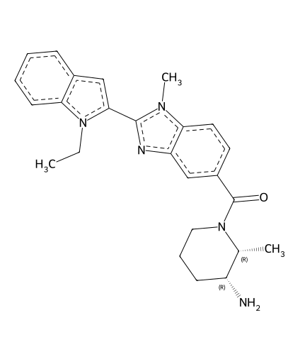 CCn1c(-c2nc3cc(C(=O)N4CCC[C@@H](N)[C@H]4C)ccc3n2C)cc2ccccc21